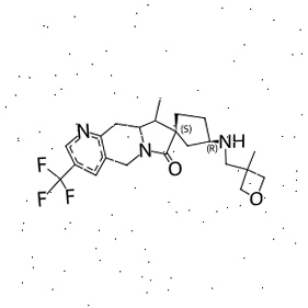 CC1C2Cc3ncc(C(F)(F)F)cc3CN2C(=O)[C@]12CC[C@@H](NCC1(C)COC1)C2